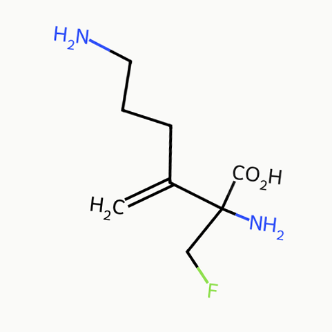 C=C(CCCN)C(N)(CF)C(=O)O